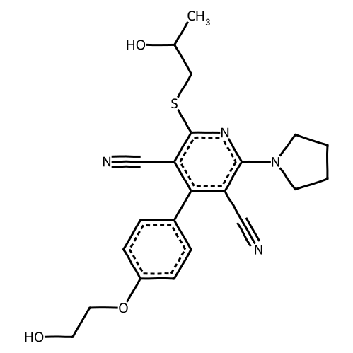 CC(O)CSc1nc(N2CCCC2)c(C#N)c(-c2ccc(OCCO)cc2)c1C#N